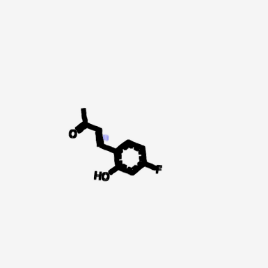 CC(=O)/C=C/c1ccc(F)cc1O